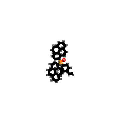 C=Cc1ccc(P(=O)(C2=CC=C3CC=C4CC=CC5=C4C3C2C=C5)c2ccc3ccc4cccc5ccc2c3c45)cc1